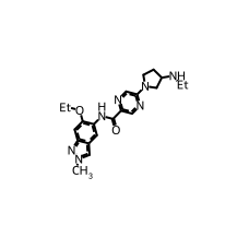 CCNC1CCN(c2cnc(C(=O)Nc3cc4cn(C)nc4cc3OCC)cn2)C1